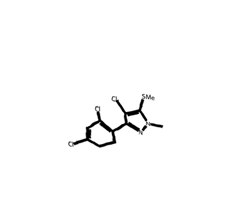 CSc1c(Cl)c(C2=C(Cl)C=C(Cl)CC2)nn1C